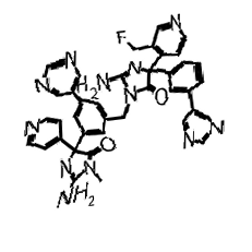 CN1C(=O)C(c2ccncc2)(c2cc(CN3C(=O)C(c4cccc(-c5cncnc5)c4)(c4ccncc4CF)N=C3N)cc(-c3cncnc3)c2)N=C1N